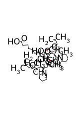 C=C(C)COC(C)C1=C(N2CCCCC2)CC(C)(C)C(C(CCCCCCCC(=O)O)(C(=O)O)C2C(C)(C)CC(N3CCCCC3)=C(C(C)OCC(=C)C)C2(C)C)C1(C)C